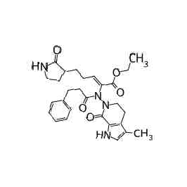 CCOC(=O)/C(=C/CCC1CCNC1=O)N(C(=O)CCc1ccccc1)N1CCc2c(C)c[nH]c2C1=O